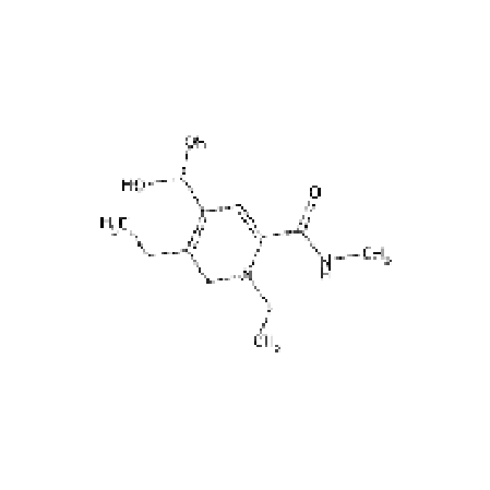 CCC1=C(C(O)O)C=C(C(=O)NC)N(CC)C1